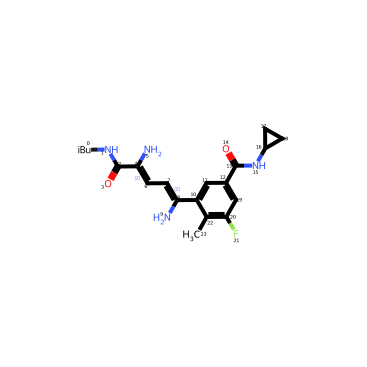 CCC(C)NC(=O)/C(N)=C/C=C(\N)c1cc(C(=O)NC2CC2)cc(F)c1C